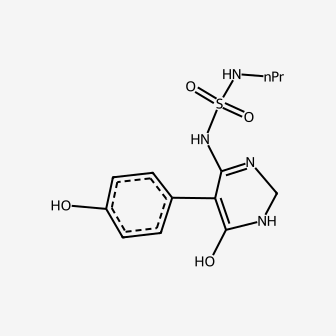 CCCNS(=O)(=O)NC1=NCNC(O)=C1c1ccc(O)cc1